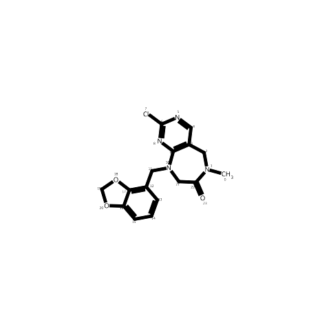 CN1Cc2cnc(Cl)nc2N(Cc2cccc3c2OCO3)CC1=O